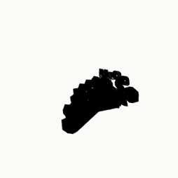 COC(=O)CCCC1(c2ccccc2)CC12c1c3c4c5c6ccc4c4cc7c8c9c%10c%11c%12c%13c%14c%15c(cc%16c%17ccc-6c(c%17c6c2c(c1c%11c8c43)c%12c%15c%166)C5)CC%14=CC(C=C9C7)C%10%13